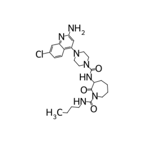 CCCCNC(=O)N1CCCCC(NC(=O)N2CCN(c3cc(N)nc4cc(Cl)ccc34)CC2)C1=O